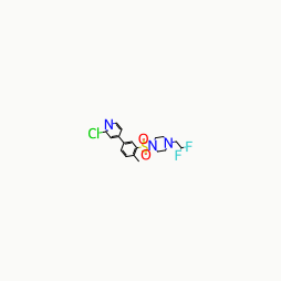 Cc1ccc(-c2ccnc(Cl)c2)cc1S(=O)(=O)N1CCN(CC(F)F)CC1